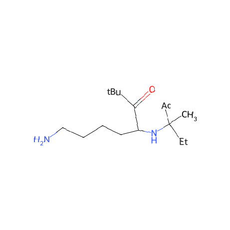 CCC(C)(NC(CCCCN)C(=O)C(C)(C)C)C(C)=O